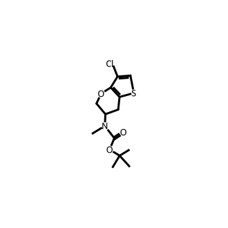 CN(C(=O)OC(C)(C)C)C1COc2c(Cl)csc2C1